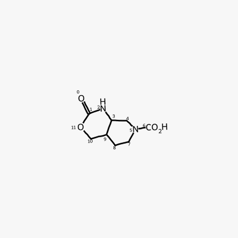 O=C1NC2CN(C(=O)O)CCC2CO1